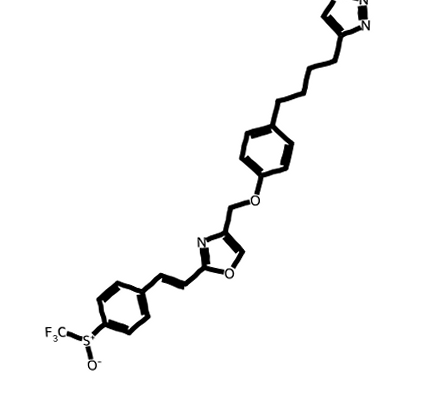 [O-][S+](c1ccc(C=Cc2nc(COc3ccc(CCCCc4c[nH]nn4)cc3)co2)cc1)C(F)(F)F